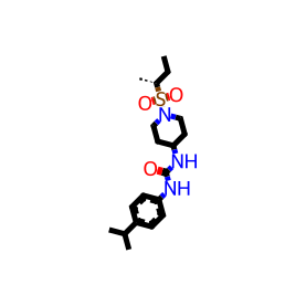 CC[C@@H](C)S(=O)(=O)N1CCC(NC(=O)Nc2ccc(C(C)C)cc2)CC1